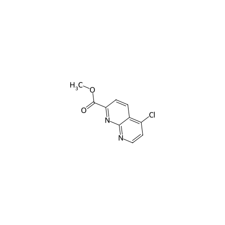 COC(=O)c1ccc2c(Cl)ccnc2n1